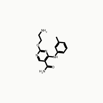 Cc1cccc(Nc2nc(OCCN)ncc2C(N)=O)c1